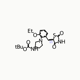 CCOc1cccc(/C=C2\SC(=O)NC2=O)c1N1CC[C@H](NC(=O)OC(C)(C)C)C1